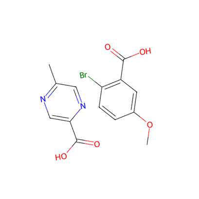 COc1ccc(Br)c(C(=O)O)c1.Cc1cnc(C(=O)O)cn1